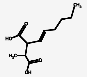 CCCCC=CC(C(=O)O)C(C)C(=O)O